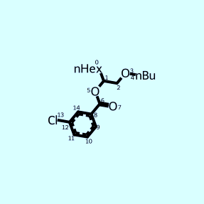 CCCCCCC(COCCCC)OC(=O)c1cccc(Cl)c1